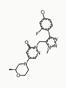 C[C@H]1CN(c2cnn(Cc3c(-c4ccc(Cl)cc4F)nnn3C)c(=O)c2)CCO1